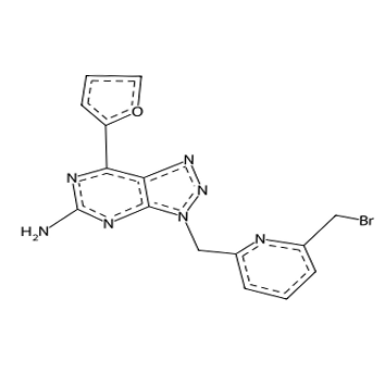 Nc1nc(-c2ccco2)c2nnn(Cc3cccc(CBr)n3)c2n1